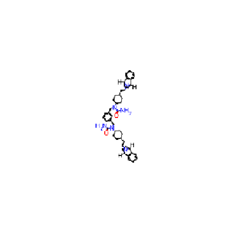 NC(=O)N(Cc1cccc(CN(C(N)=O)[C@H]2CC[C@H](CCN3[C@@H]4CC[C@H]3c3ccccc34)CC2)c1)[C@H]1CC[C@H](CCN2[C@@H]3CC[C@H]2c2ccccc23)CC1